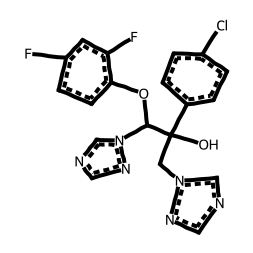 OC(Cn1cncn1)(c1ccc(Cl)cc1)C(Oc1ccc(F)cc1F)n1cncn1